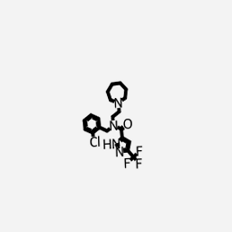 O=C(c1cc(C(F)(F)F)n[nH]1)N(CCN1CCCCCC1)Cc1ccccc1Cl